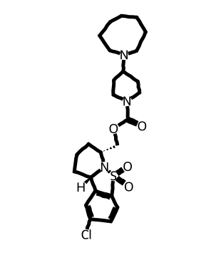 O=C(OC[C@H]1CCC[C@H]2c3cc(Cl)ccc3S(=O)(=O)N12)N1CCC(N2CCCCCCC2)CC1